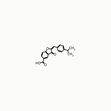 CC(C)c1ccc(C=C2Oc3ccc(C(=O)O)cc3C2=O)cc1